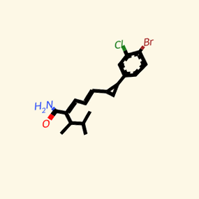 CC(C)C(C)/C(=C\C=C\C1CC1c1ccc(Br)c(Cl)c1)C(N)=O